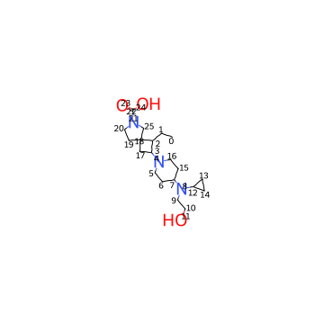 CCC1C(N2CCC(N(CCO)C3CC3)CC2)CC12CCN(C(=O)O)C2